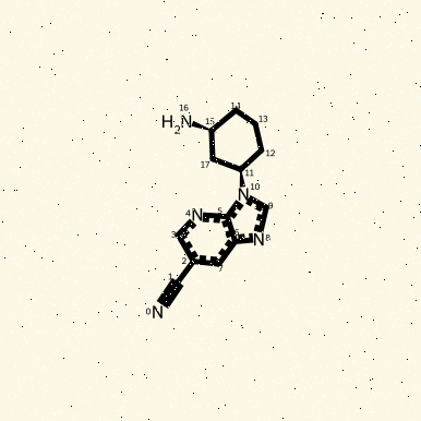 N#Cc1cnc2c(c1)ncn2[C@@H]1CCC[C@H](N)C1